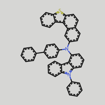 c1ccc(-c2ccc(N(c3ccc4ccc5sc6ccccc6c5c4c3)c3cccc4c3c3ccccc3n4-c3ccccc3)cc2)cc1